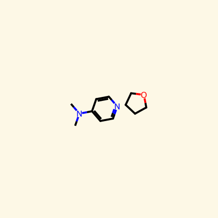 C1CCOC1.CN(C)c1ccncc1